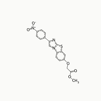 COC(=O)COc1ccc2c(c1)sc1nc(-c3ccc([N+](=O)[O-])cc3)cn12